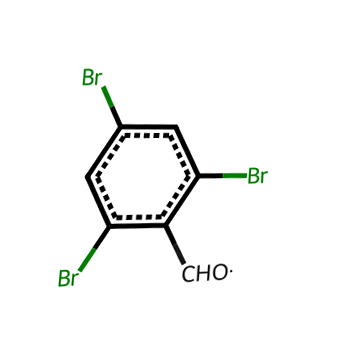 O=[C]c1c(Br)cc(Br)cc1Br